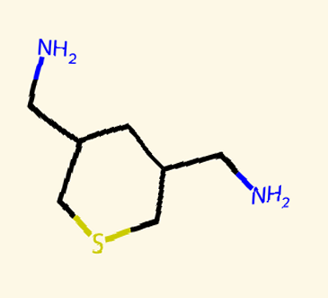 NCC1CSCC(CN)C1